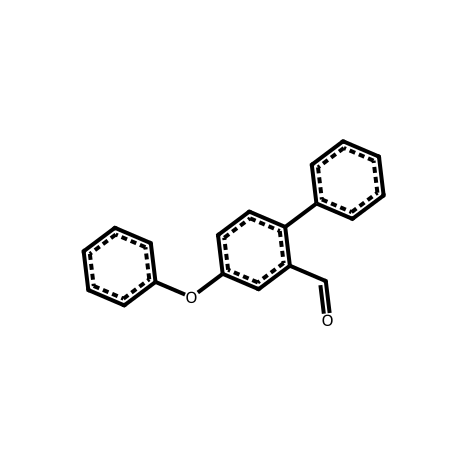 O=Cc1cc(Oc2ccccc2)ccc1-c1ccccc1